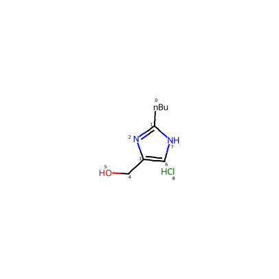 CCCCc1nc(CO)c[nH]1.Cl